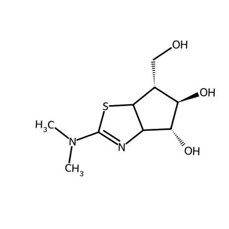 CN(C)C1=NC2C(S1)[C@H](CO)[C@@H](O)[C@@H]2O